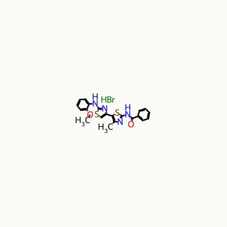 Br.COc1ccccc1Nc1nc(-c2sc(NC(=O)c3ccccc3)nc2C)cs1